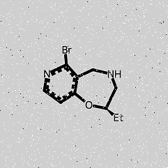 CC[C@@H]1CNCc2c(ccnc2Br)O1